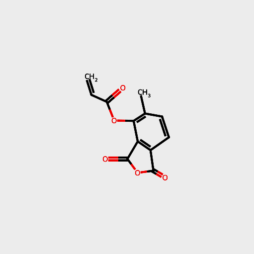 C=CC(=O)Oc1c(C)ccc2c1C(=O)OC2=O